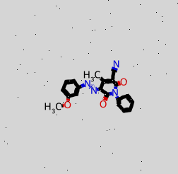 COc1cccc(/N=N/C2C(=O)N(c3ccccc3)C(=O)C(C#N)=C2C)c1